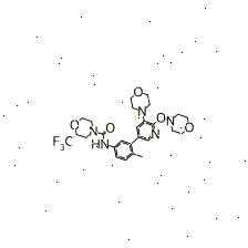 Cc1ccc(NC(=O)N2CCO[C@@H](C(F)(F)F)C2)cc1-c1cnc(ON2CCOCC2)c(N2CCOCC2)c1